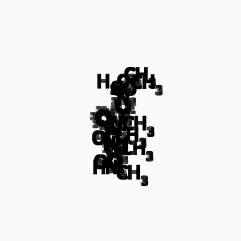 COc1cc(C)[nH]c(=O)c1CNC(=O)c1c(C)n(C(C)C2CCN(C(=O)OC(C)(C)C)CC2)c2ccccc12